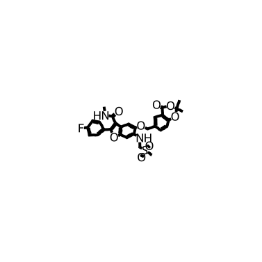 CNC(=O)c1c(-c2ccc(F)cc2)oc2cc(NCS(C)(=O)=O)c(OCc3ccc4c(c3)C(=O)OC(C)(C)O4)cc12